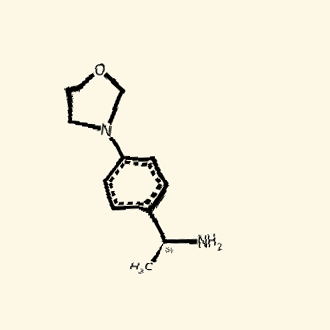 C[C@H](N)c1ccc(N2CCOC2)cc1